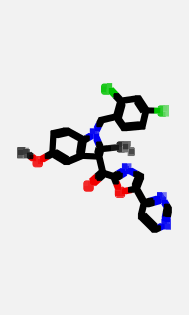 CCOc1ccc2c(c1)c(C(=O)c1ncc(-c3ccncn3)o1)c(C(F)(F)F)n2Cc1ccc(Cl)cc1Cl